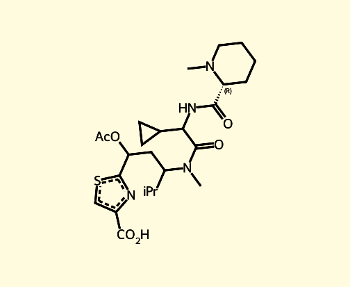 CC(=O)OC(CC(C(C)C)N(C)C(=O)C(NC(=O)[C@H]1CCCCN1C)C1CC1)c1nc(C(=O)O)cs1